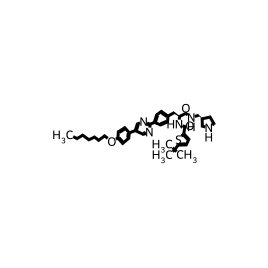 CCCCCCCOc1ccc(-c2cnc(-c3ccc(C[C@H](NC(=O)c4ccc(C(C)(C)C)s4)C(=O)NC[C@@H]4CCNC4)cc3)nc2)cc1